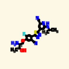 CC(C)Nc1cc(-c2nnc(-c3cc(F)c(OC[C@H](N)[C@@H](C)O)cc3C#N)s2)cc(C#N)n1